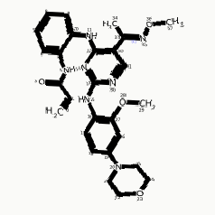 C=CC(=O)Nc1ccccc1Nc1nc(Nc2ccc(N3CCOCC3)cc2OC)ncc1/C(C)=N/OC